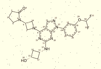 O=C1CCCN1C1CN(c2nc(N[C@H]3C[C@@H](O)C3)nc3c2cnn3-c2cccc(OC(F)F)c2)C1